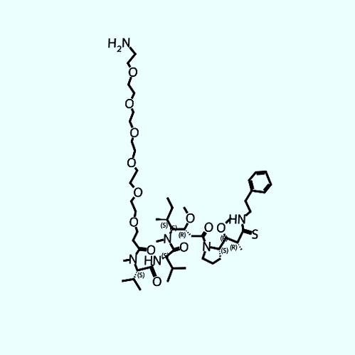 CC[C@H](C)[C@@H]([C@@H](CC(=O)N1CCC[C@H]1[C@H](OC)[C@@H](C)C(=S)NCCc1ccccc1)OC)N(C)C(=O)[C@@H](NC(=O)[C@H](C(C)C)N(C)C(=O)CCOCCOCCOCCOCCOCCOCCN)C(C)C